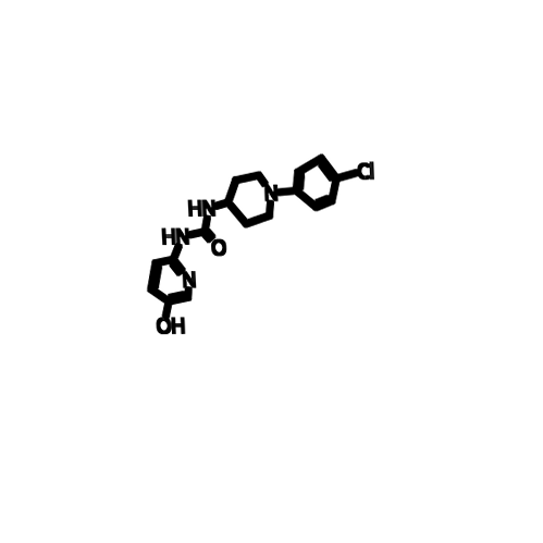 O=C(Nc1ccc(O)cn1)NC1CCN(c2ccc(Cl)cc2)CC1